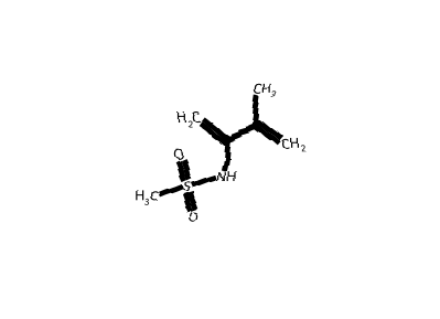 C=C(C)C(=C)NS(C)(=O)=O